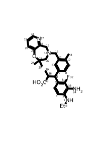 CCNc1ccc(C(c2ccc(C)c(CN3Cc4ncccc4OC(C)(C)C3)c2)C(C)C(=O)O)c(F)c1N